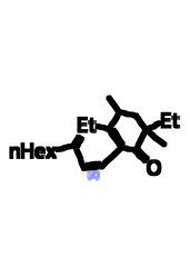 C=C(/C=C\C1=C(CC)C(C)CC(C)(CC)C1=O)CCCCCC